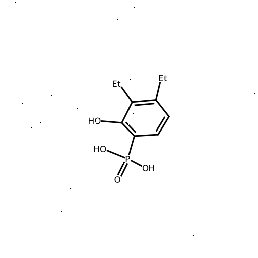 CCc1ccc(P(=O)(O)O)c(O)c1CC